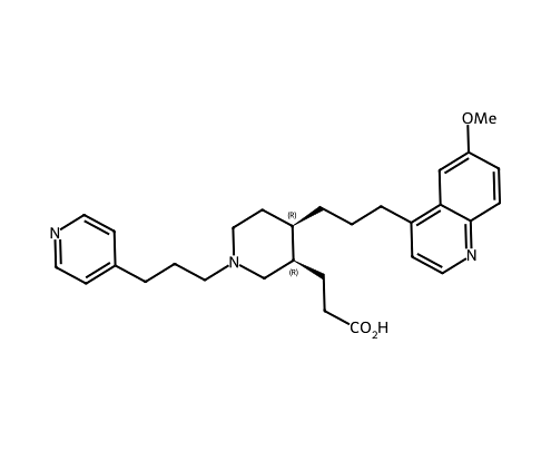 COc1ccc2nccc(CCC[C@@H]3CCN(CCCc4ccncc4)C[C@@H]3CCC(=O)O)c2c1